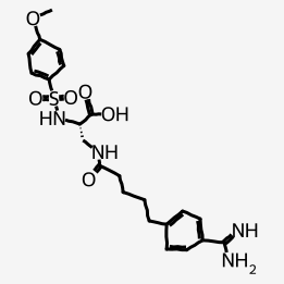 COc1ccc(S(=O)(=O)N[C@@H](CNC(=O)CCCCc2ccc(C(=N)N)cc2)C(=O)O)cc1